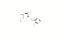 CC(/C=C(/N)C(=O)OCc1ccccc1Cl)CP(=O)(O)O